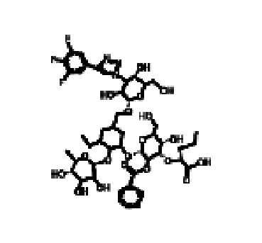 CCC[C@H](O[C@@H]1C(OC(=O)c2ccccc2)[C@H](O[C@@H]2CC(CO[C@H]3OC(CO)[C@@H](O)C(n4cc(-c5cc(F)c(F)c(F)c5)nn4)C3O)CC(CC)C2O[C@@H]2OC(C)[C@@H](O)C(O)C2O)OC(CO)[C@@H]1O)C(=O)O